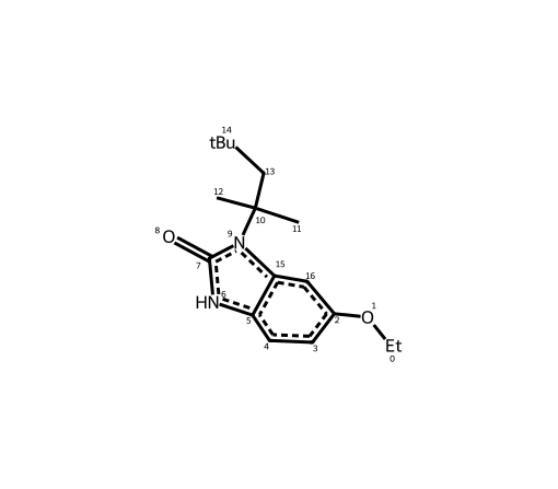 CCOc1ccc2[nH]c(=O)n(C(C)(C)CC(C)(C)C)c2c1